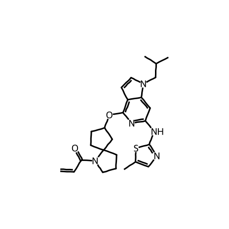 C=CC(=O)N1CCCC12CCC(Oc1nc(Nc3ncc(C)s3)cc3c1ccn3CC(C)C)C2